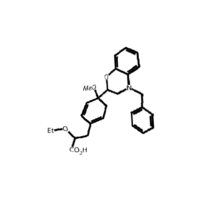 CCOC(CC1=CCC(OC)(C2CN(Cc3ccccc3)c3ccccc3O2)C=C1)C(=O)O